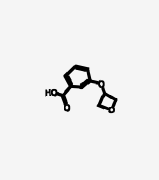 O=C(O)c1cccc(OC2COC2)c1